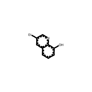 CCc1cnc2c(O)cccc2c1